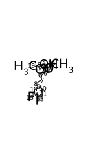 CCO[Si](O)(CCCCc1ccc(F)c(F)c1)OCC